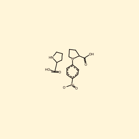 O=C(O)C1CCCN1.O=C(O)C1CCCN1c1ccc([N+](=O)[O-])cc1